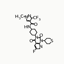 Cn1cc(C(=O)NC2CCC(n3c(=O)c4cc(F)cnc4n(C4CCSCC4)c3=O)CC2)c(C(F)(F)F)n1